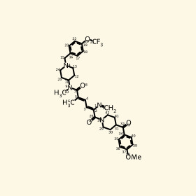 C=N/C(=C\C=C(/C)C(=O)N(C)C1CCN(Cc2ccc(OC(F)(F)F)cc2)CC1)C(=O)N1CCC(C(=O)c2ccc(OC)cc2)CC1